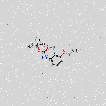 CCOc1ccc(F)c(NC(=O)OC(C)(C)C)c1F